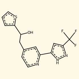 OC(Cc1ccnc(-c2cc(C(F)(F)F)n[nH]2)c1)c1cccs1